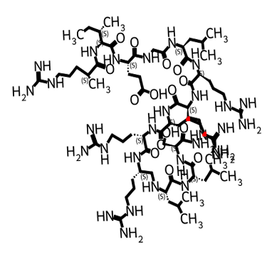 CC[C@H](C)[C@H](NC(=O)[C@@H](C)CCCNC(=N)N)C(=O)N[C@@H](CCC(=O)O)C(=O)NCC(=O)N[C@@H](CC(C)C)C(=O)N[C@@H](CCCNC(=N)N)C(=O)N[C@@H](CCCCN)C(=O)N[C@@H](CCCNC(=N)N)C(=O)N[C@@H](CCCNC(=N)N)C(=O)N[C@@H](CCCNC(=N)N)CN[C@@H](CC(C)C)C(=O)N[C@@H](CC(C)C)C(=O)N[C@@H](CO)C(N)=O